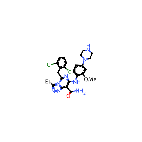 CCc1nnc2c(C(N)=O)c(Nc3ccc(N4CCNCC4)cc3OC)nc(Cc3c(Cl)cccc3Cl)n12